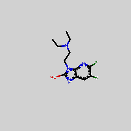 CCN(CC)CCn1c(O)nc2cc(F)c(F)nc21